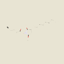 C#CCCCC(=O)ON1C(=O)CC(SCCCCCCC)C1=O